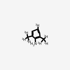 [2H]c1cc(C([2H])([2H])[2H])c(N)c(C([2H])([2H])[2H])c1